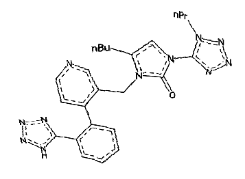 CCCCc1cn(-c2nnnn2CCC)c(=O)n1Cc1cnccc1-c1ccccc1-c1nnn[nH]1